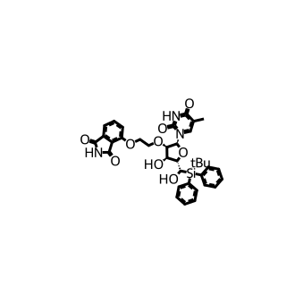 Cc1cn([C@@H]2O[C@H](C(O)[Si](c3ccccc3)(c3ccccc3)C(C)(C)C)[C@@H](O)[C@H]2OCCOc2cccc3c2C(=O)NC3=O)c(=O)[nH]c1=O